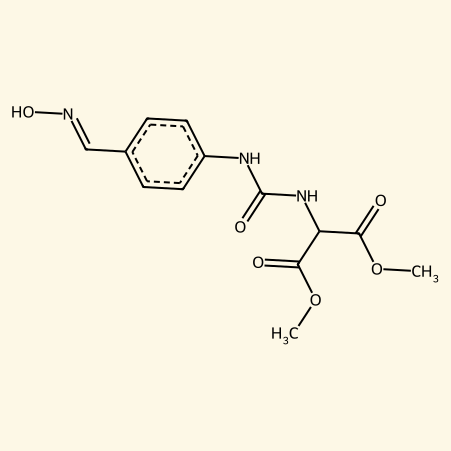 COC(=O)C(NC(=O)Nc1ccc(C=NO)cc1)C(=O)OC